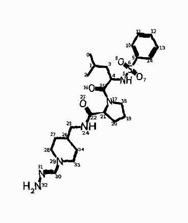 CC(C)CC(NS(=O)(=O)c1ccccc1)C(=O)N1CCC[C@H]1C(=O)NCC1CCN(C=NN)CC1